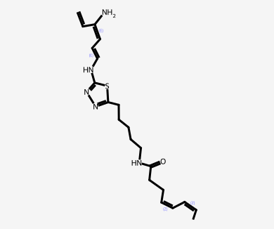 C=C/C(N)=C\C=C\Nc1nnc(CCCCCNC(=O)CC/C=C\C=C/C)s1